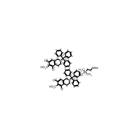 CNCC[N+](C)(C)C.O=C(O)c1c(Cl)cc2c(c1Cl)CCN(C(c1ccccc1)(c1ccccc1)c1ccccc1)C2.O=C(O)c1c(Cl)cc2c(c1Cl)CCN(C(c1ccccc1)(c1ccccc1)c1ccccc1)C2